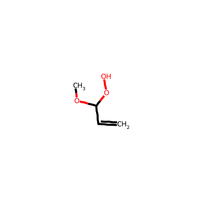 C=CC(OC)OO